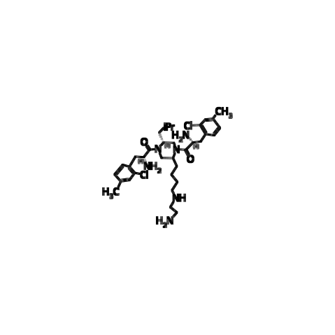 Cc1ccc(C[C@@H](N)C(=O)N2C[C@@H](CC(C)C)N(C(=O)[C@H](N)Cc3ccc(C)cc3Cl)CC2CCCCNCCN)c(Cl)c1